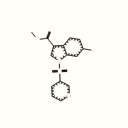 COC(=O)c1cn(S(=O)(=O)c2cccnc2)c2cc(Br)ccc12